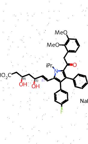 COc1cccc(CC(=O)c2c(-c3ccccc3)c(-c3ccc(F)cc3)c(/C=C/[C@@H](O)C[C@@H](O)CC(=O)O)n2C(C)C)c1OC.[NaH]